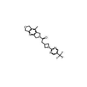 Cc1c2c(nc3c1CN(C(=O)CC1CN(c4ncc(C(F)(F)F)cn4)C1)C3)COC2